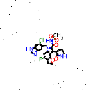 CS(=O)(=O)NC(=O)c1c(-c2ccc[nH]c2=O)c2c3occc3c(F)cc2n1Cc1cc2nc[nH]c2cc1Cl